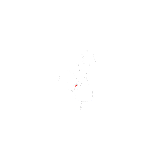 C=C1/C=C(Br)\C=C/CCC2(CCC(Cc3ccccc3)CC2)C12N=C(N)N(C)C2=O